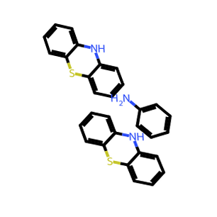 Nc1ccccc1.c1ccc2c(c1)Nc1ccccc1S2.c1ccc2c(c1)Nc1ccccc1S2